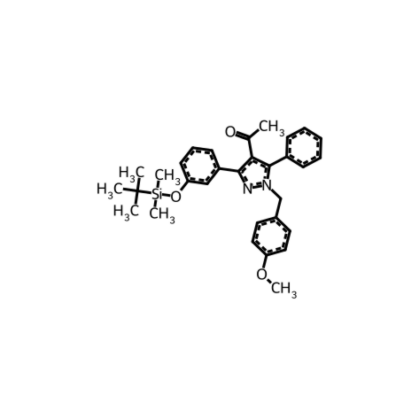 COc1ccc(Cn2nc(-c3cccc(O[Si](C)(C)C(C)(C)C)c3)c(C(C)=O)c2-c2ccccc2)cc1